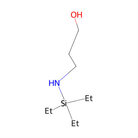 CC[Si](CC)(CC)NCCCO